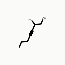 CCCC#CC(O)CO